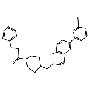 Cc1cccc(-c2ccc(C)c(/C=C\NCC3CCN(C(=O)CCc4ccccc4)CC3)c2)n1